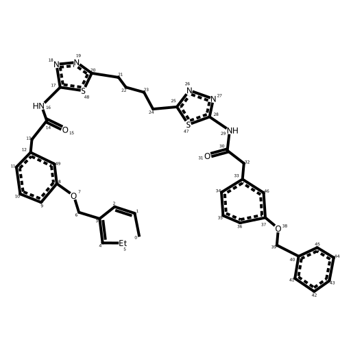 C/C=C\C(=C/CC)COc1cccc(CC(=O)Nc2nnc(CCCCc3nnc(NC(=O)Cc4cccc(OCc5ccccc5)c4)s3)s2)c1